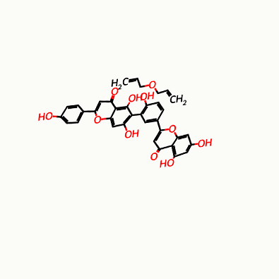 C=CCOCC=C.O=c1cc(-c2ccc(O)c(-c3c(O)cc4oc(-c5ccc(O)cc5)cc(=O)c4c3O)c2)oc2cc(O)cc(O)c12